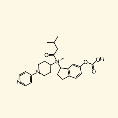 CC(C)CC(=O)[N+](C)(C1CCN(c2ccncc2)CC1)C1CCc2ccc(OC(=O)O)cc21